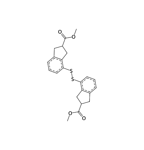 COC(=O)C1Cc2cccc(SSc3cccc4c3CC(C(=O)OC)C4)c2C1